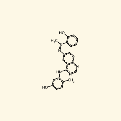 Cc1ccc(O)cc1Nc1ncnc2ccc(N=S(C)c3ccccc3O)cc12